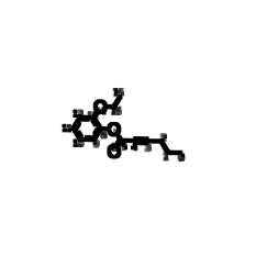 CCCC#CC(=O)Oc1ccccc1OCC